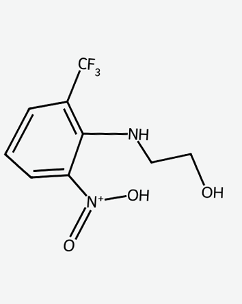 O=[N+](O)c1cccc(C(F)(F)F)c1NCCO